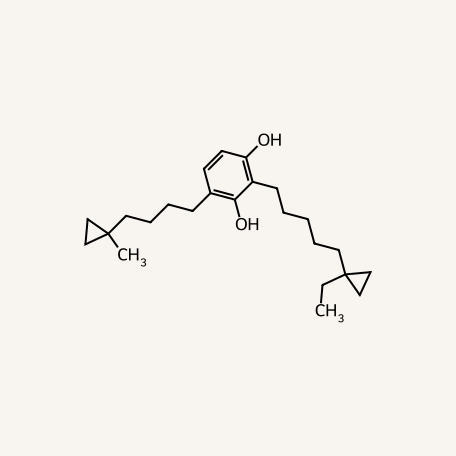 CCC1(CCCCCc2c(O)ccc(CCCCC3(C)CC3)c2O)CC1